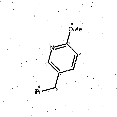 COc1ccc(CC(C)C)cn1